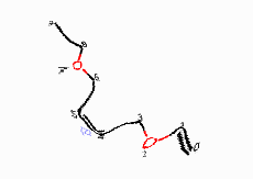 C=COC/C=C\COCC